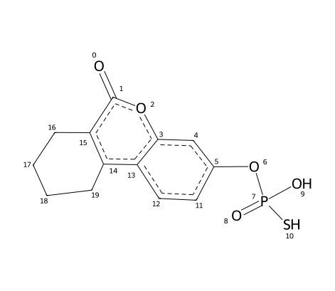 O=c1oc2cc(OP(=O)(O)S)ccc2c2c1CCCC2